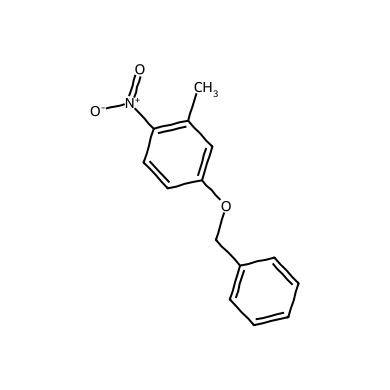 Cc1cc(OCc2ccccc2)ccc1[N+](=O)[O-]